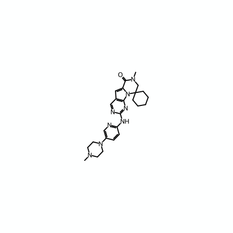 CN1CCN(c2ccc(Nc3ncc4cc5n(c4n3)C3(CCCCC3)CN(C)C5=O)nc2)CC1